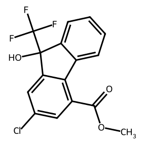 COC(=O)c1cc(Cl)cc2c1-c1ccccc1C2(O)C(F)(F)F